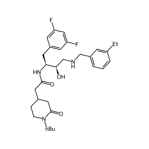 CCCCN1CCC(CC(=O)N[C@@H](Cc2cc(F)cc(F)c2)[C@H](O)CNCc2cccc(CC)c2)CC1=O